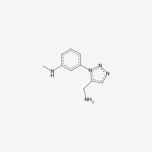 CNc1cccc(-n2nncc2CN)c1